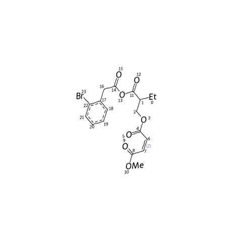 CCC(COC(=O)/C=C\C(=O)OC)C(=O)OC(=O)Cc1ccccc1Br